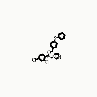 Clc1ccc([C@@H](Cn2ccnc2)OCc2ccc(Sc3ccccc3)cc2)c(Cl)c1